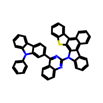 c1ccc(-n2c3ccccc3c3ccc(-c4nc(-n5c6ccccc6c6c7ccccc7c7c8ccccc8sc7c65)nc5ccccc45)cc32)cc1